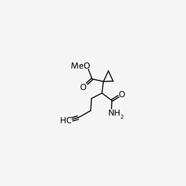 C#CCCC(C(N)=O)C1(C(=O)OC)CC1